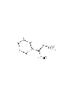 O=CN(CC(F)(F)F)C1CCCCC1